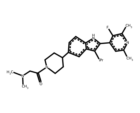 Cc1cc(-c2[nH]c3ccc(C4CCN(C(=O)CN(C)C)CC4)cc3c2C(C)C)c(F)c(C)n1